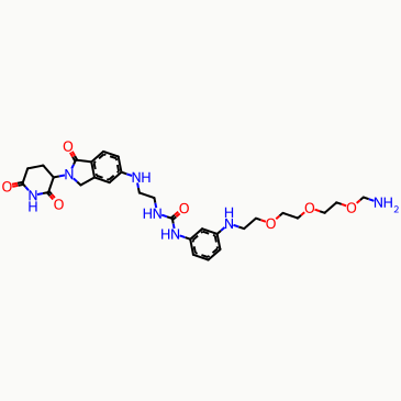 NCOCCOCCOCCNc1cccc(NC(=O)NCCNc2ccc3c(c2)CN(C2CCC(=O)NC2=O)C3=O)c1